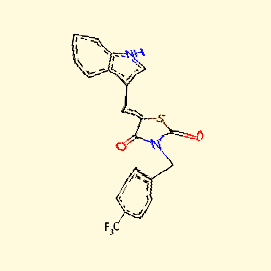 O=C1SC(=Cc2c[nH]c3ccccc23)C(=O)N1Cc1ccc(C(F)(F)F)cc1